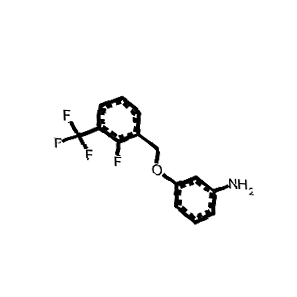 Nc1cccc(OCc2cccc(C(F)(F)F)c2F)c1